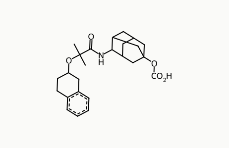 CC(C)(OC1CCc2ccccc2C1)C(=O)NC1C2CC3CC1CC(OC(=O)O)(C3)C2